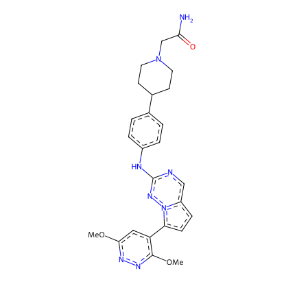 COc1cc(-c2ccc3cnc(Nc4ccc(C5CCN(CC(N)=O)CC5)cc4)nn23)c(OC)nn1